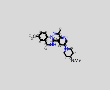 CNC1CCN(c2cnc3c(C)nnc(N[C@H](C)c4cccc(C(F)(F)F)c4)c3c2)CC1